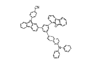 N#Cc1ccc(-n2c3ccccc3c3ccc(-c4cc(-c5ccc6cc(N(c7ccccc7)c7ccccc7)ccc6c5)cc(-c5cccc6c5oc5ccccc56)c4)cc32)cc1